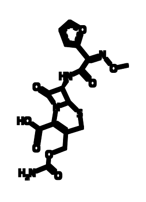 CO/N=C(\C(=O)N[C@@H]1C(=O)N2C(C(=O)O)=C(COC(N)=O)CSC12)c1ccco1